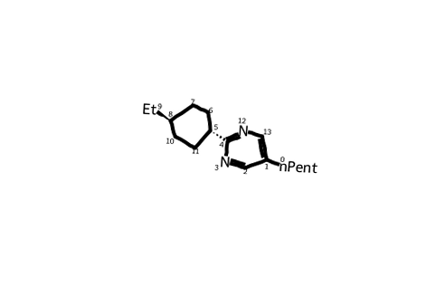 CCCCCc1cnc([C@H]2CC[C@H](CC)CC2)nc1